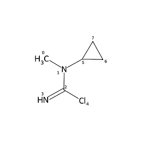 CN(C(=N)Cl)C1CC1